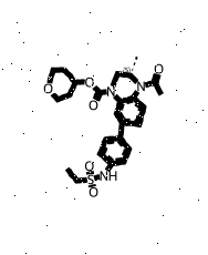 CCS(=O)(=O)Nc1ccc(-c2ccc3c(c2)N(C(=O)OC2CCOCC2)C[C@H](C)N3C(C)=O)cc1